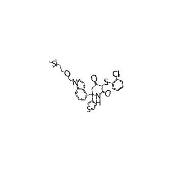 C[Si](C)(C)CCOCn1ccc2c(C3(c4ccsc4)CC(=O)C(Sc4ccccc4Cl)C(=O)N3)cccc21